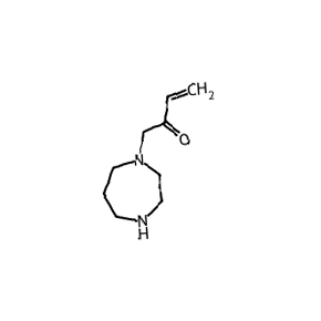 C=CC(=O)CN1CCCNCC1